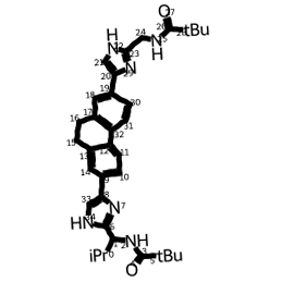 CC(C)C(NC(=O)C(C)(C)C)c1nc(-c2ccc3c(c2)CCc2cc(-c4c[nH]c(CNC(=O)C(C)(C)C)n4)ccc2-3)c[nH]1